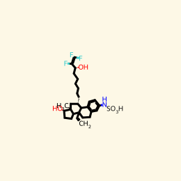 C=CC12CCc3cc(NS(=O)(=O)O)ccc3C1[C@@H](CCCCCC[C@@H](O)C(F)=C(F)F)C[C@@]1(C)C2CC[C@@H]1O